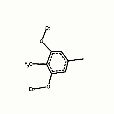 CCOc1cc(C)cc(OCC)c1C(F)(F)F